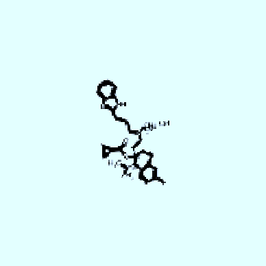 CC(C)[C@H]1c2ccc(F)cc2CC[C@@]1(CCN(C)CCCc1nc2ccccc2[nH]1)OC(=O)C1CC1.Cl.Cl.O